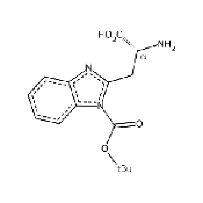 CC(C)(C)OC(=O)n1c(C[C@@H](N)C(=O)O)nc2ccccc21